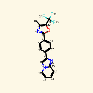 Cc1nc(-c2ccc(-c3cn4ccccc4n3)cc2)oc1C(F)(F)F